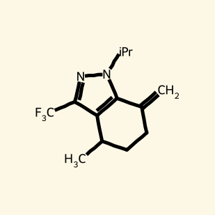 C=C1CCC(C)c2c(C(F)(F)F)nn(C(C)C)c21